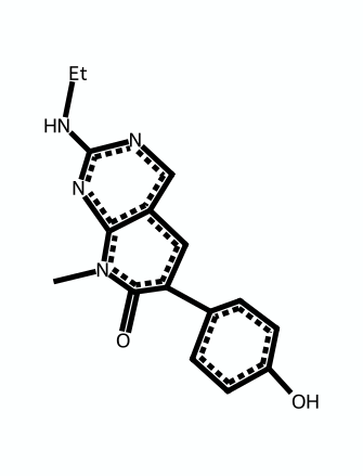 CCNc1ncc2cc(-c3ccc(O)cc3)c(=O)n(C)c2n1